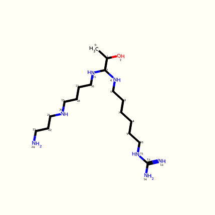 CC(O)C(NCCCCCCNC(=N)N)NCCCCNCCCN